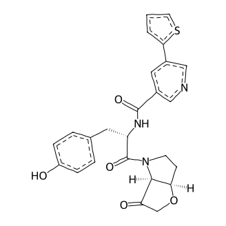 O=C(N[C@@H](Cc1ccc(O)cc1)C(=O)N1CC[C@H]2OCC(=O)[C@H]21)c1cncc(-c2cccs2)c1